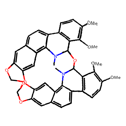 COc1ccc2c(c1OC)C(OC1c3c(ccc(OC)c3OC)-c3ccc4cc5c(cc4c3N1C)OCO5)N(C)c1c-2ccc2cc3c(cc12)OCO3